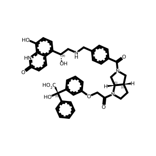 O=C(c1ccc(CNC[C@H](O)c2ccc(O)c3[nH]c(=O)ccc23)cc1)N1C[C@@H]2CCN(C(=O)COc3cccc([C@](O)(C(=O)O)c4ccccc4)c3)[C@@H]2C1